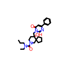 CCCN(CC)C(=O)N1CCC(O)(Cn2cnc(-c3ccccc3)cc2=O)C2(CCCC2)C1